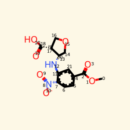 COC(=O)c1ccc([N+](=O)[O-])c(N[C@H]2COC[C@H]2C(=O)O)c1